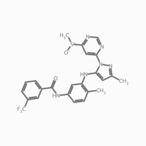 Cc1cc(Nc2cc(NC(=O)c3cccc(C(F)(F)F)c3)ccc2C)n(-c2cc([S+](C)[O-])ncn2)n1